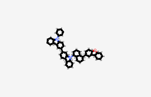 c1ccc(-n2c3ccccc3c3cc(-c4ccc5c6ccccc6n(-c6cccc7c(-c8ccc9oc%10ccccc%10c9c8)cccc67)c5c4)ccc32)cc1